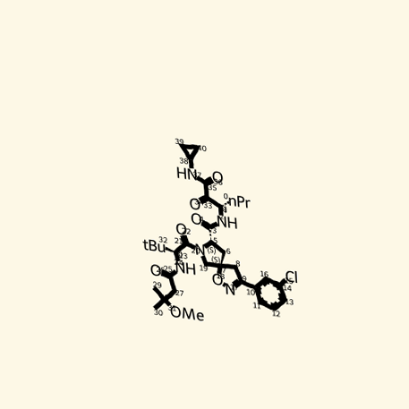 CCC[C@H](NC(=O)[C@@H]1C[C@]2(CC(c3cccc(Cl)c3)=NO2)CN1C(=O)[C@@H](NC(=O)CC(C)(C)OC)C(C)(C)C)C(=O)C(=O)NC1CC1